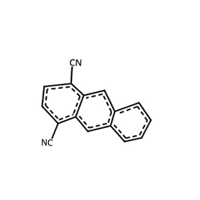 N#Cc1ccc(C#N)c2cc3ccccc3cc12